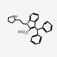 CCOC(=O)c1c(C(c2ccccc2)c2ccccc2)c2ccccc2n1CCC1CCCN1